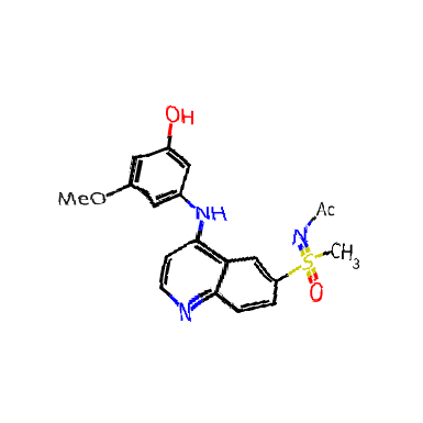 COc1cc(O)cc(Nc2ccnc3ccc(S(C)(=O)=NC(C)=O)cc23)c1